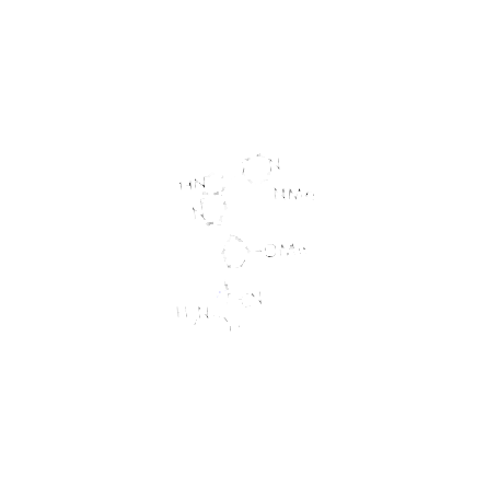 CNc1cc(-c2c[nH]c3ncc(-c4cc(/C=C(\C#N)C(N)=O)cc(OC)c4)cc23)ccn1